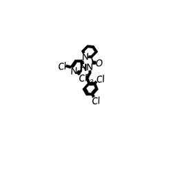 O=C(NCCc1ccc(Cl)cc1Cl)[C@@H]1CCCCN1c1cc(Cl)nc(C(F)(F)F)n1